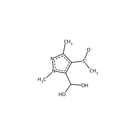 Cc1nn(C)c(C(O)O)c1[S+](C)[O-]